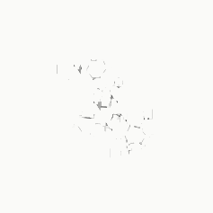 Nc1cccc(S(=O)(=O)NC2=NC3=CC=CCC3N=C2Nc2cc(O)ccc2Cl)c1